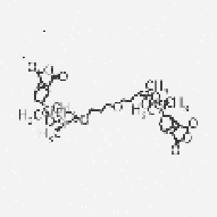 C[Si](C)(CCCOCCCOCC[Si](C)(C)O[Si](C)(C)C1CC2CC1C1C(=O)OC(=O)C21)O[Si](C)(C)C1CC2CC1C1C(=O)OC(=O)C21